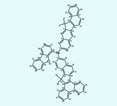 CC1(C)c2cc3cc(N(c4ccc5c6c(ccc5c4)-c4c(c5ccccc5c5ccccc45)C6(C)C)c4cccc5c4oc4ccccc45)ccc3cc2-c2ccc3ccccc3c21